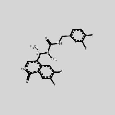 C[C@@H](c1c[nH]c(=O)c2cc(F)c(F)cc12)N(C)C(=O)NCc1ccc(F)c(F)c1